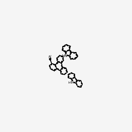 N#Cc1cccc2c3ccccc3c3ccccc3c12.c1ccc2c(c1)[nH]c1ccccc12.c1ccc2c(c1)[nH]c1ccccc12